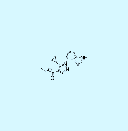 CCOC(=O)c1cnn(-c2cccc3[nH]cnc23)c1C1CC1